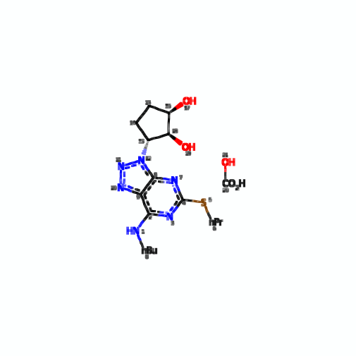 CCCCNc1nc(SCCC)nc2c1nnn2[C@@H]1CC[C@@H](O)[C@H]1O.O=C(O)O